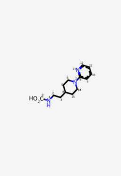 O=C(O)NCCC1CCN(c2ccccn2)CC1